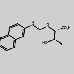 C[C@@H](O)[C@H](NCNc1ccc2ccccc2c1)C(=O)O